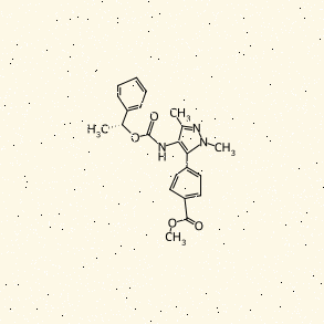 COC(=O)c1ccc(-c2c(NC(=O)O[C@H](C)c3ccccc3)c(C)nn2C)cc1